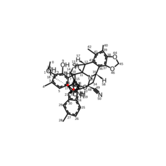 COc1c(C)cc2c(c1O)[C@@H]1[C@@H]3[C@@H]4SC[C@]5(N[C@@H](CN)Cc6c5[nH]c5ccc(C)cc65)C(=O)OC[C@@H](c5c6c(c(C)c(C)c54)OCO6)N3[C@@H](C#N)[C@@H](C2)N1C